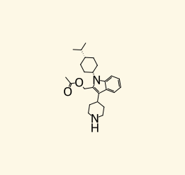 CC(=O)OCc1c(C2CCNCC2)c2ccccc2n1[C@H]1CC[C@@H](C(C)C)CC1